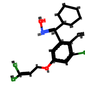 COc1c(Cl)cc(OCC=C(Cl)Cl)cc1/C(=N/O)C1CCCCC1